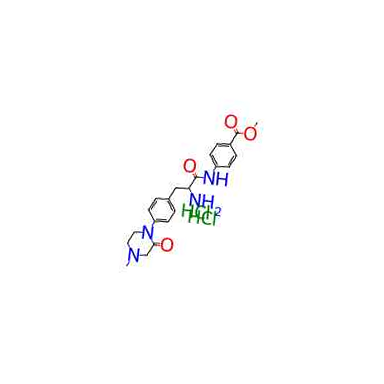 COC(=O)c1ccc(NC(=O)C(N)Cc2ccc(N3CCN(C)CC3=O)cc2)cc1.Cl.Cl